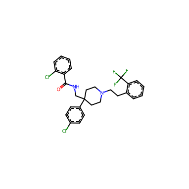 O=C(NCC1(c2ccc(Cl)cc2)CCN(CCc2ccccc2C(F)(F)F)CC1)c1ccccc1Cl